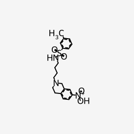 Cc1cccc(S(=O)(=O)NCCCCN2CCc3ccc([N+](=O)O)cc3C2)c1